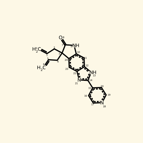 C=CCC1(CC=C)C(=O)Nc2cc3[nH]c(-c4ccncc4)nc3cc21